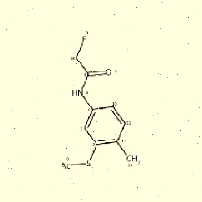 CC(=O)Sc1cc(NC(=O)CF)ccc1C